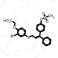 CS(=O)(=O)Oc1ccc(/C(=C\CSc2ccc(OCC(=O)O)c(Br)c2)c2ccccc2)cc1